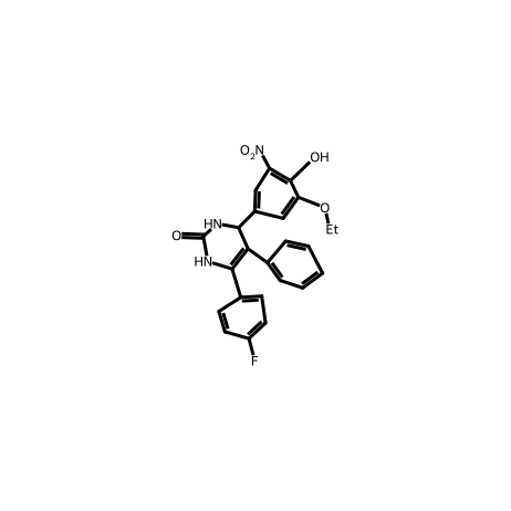 CCOc1cc(C2NC(=O)NC(c3ccc(F)cc3)=C2c2ccccc2)cc([N+](=O)[O-])c1O